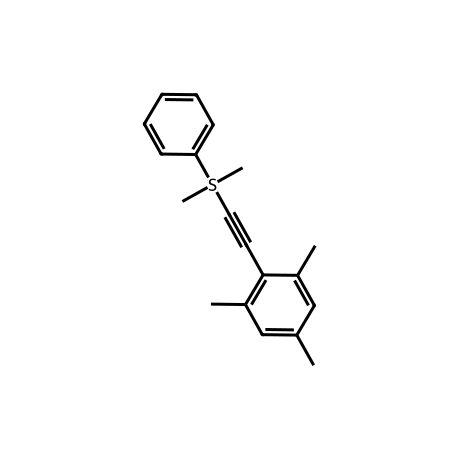 Cc1cc(C)c(C#CS(C)(C)c2ccccc2)c(C)c1